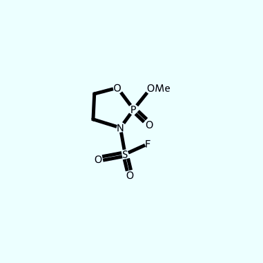 COP1(=O)OCCN1S(=O)(=O)F